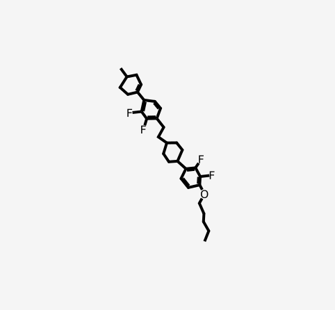 CCCCCOc1ccc(C2CCC(CCc3ccc(C4=CCC(C)CC4)c(F)c3F)CC2)c(F)c1F